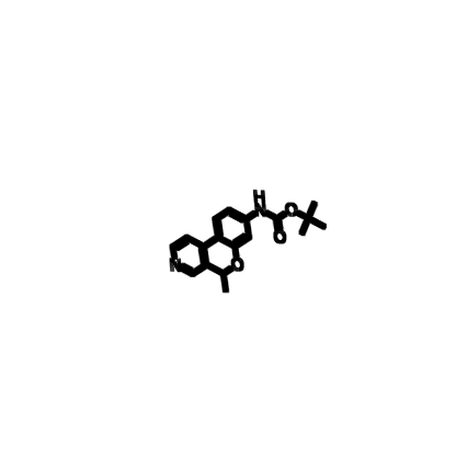 CC1Oc2cc(NC(=O)OC(C)(C)C)ccc2-c2ccncc21